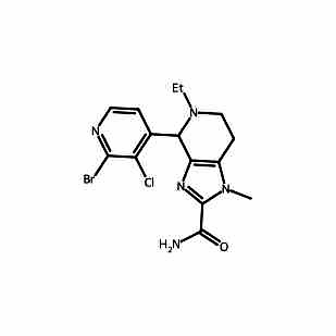 CCN1CCc2c(nc(C(N)=O)n2C)C1c1ccnc(Br)c1Cl